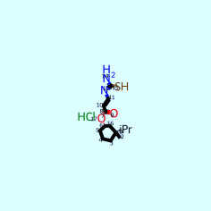 CC(C)[C@]1(C)CCC[C@H](OC(=O)C=CN=C(N)S)C1.Cl